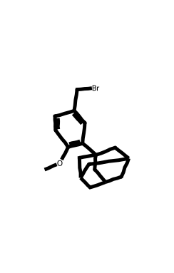 COc1ccc(CBr)cc1C12CC3CC(CC(C3)C1)C2